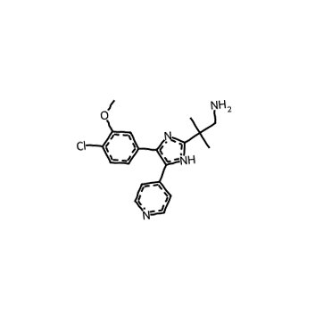 COc1cc(-c2nc(C(C)(C)CN)[nH]c2-c2ccncc2)ccc1Cl